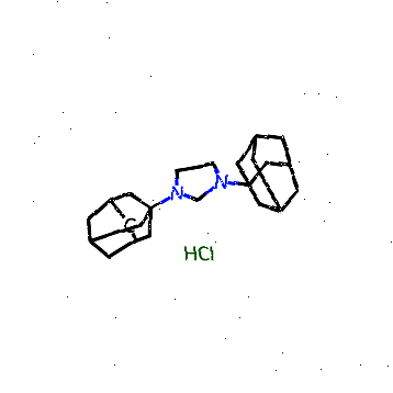 C1C2CC3CC1CC(N1CCN(C45CC6CC(CC(C6)C4)C5)C1)(C2)C3.Cl